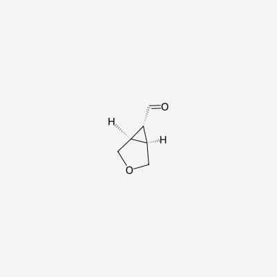 O=C[C@@H]1[C@H]2COC[C@@H]12